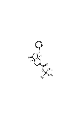 CC(C)(C)OC(=O)N1CC[C@@H]2C(=O)CN(Cc3ccccc3)[C@@H]2C1